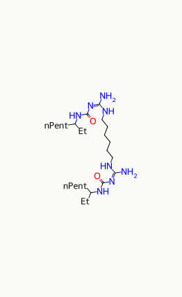 CCCCCC(CC)NC(=O)/N=C(/N)NCCCCCCN/C(N)=N\C(=O)NC(CC)CCCCC